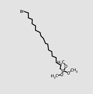 CO[Si](CCCCCCCCCCCCCCCCCCBr)(OC)OC